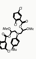 CCCCc1ccc(N(CC(OC)OC(=O)c2cc(Cl)ccc2Cl)CC(OC)OC(=O)c2cc(Cl)ccc2Cl)cc1